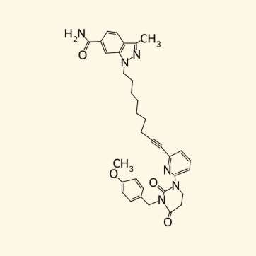 COc1ccc(CN2C(=O)CCN(c3cccc(C#CCCCCCCCn4nc(C)c5ccc(C(N)=O)cc54)n3)C2=O)cc1